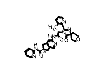 Cc1cccnc1C1=NC2(CCOCC2)C(=O)N1CC(=O)Nc1cc2c(cn1)C[C@@H](C(=O)Nc1ccccn1)C2